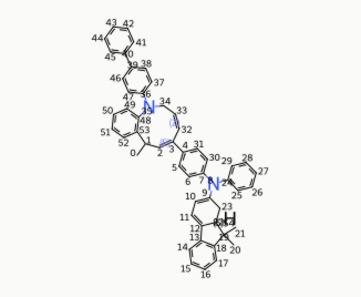 CC1/C=C(c2ccc(N(C3=CC=C4c5ccccc5C(C)(C)[C@@H]4C3)c3ccccc3)cc2)\C=C/CN(c2ccc(-c3ccccc3)cc2)c2ccccc21